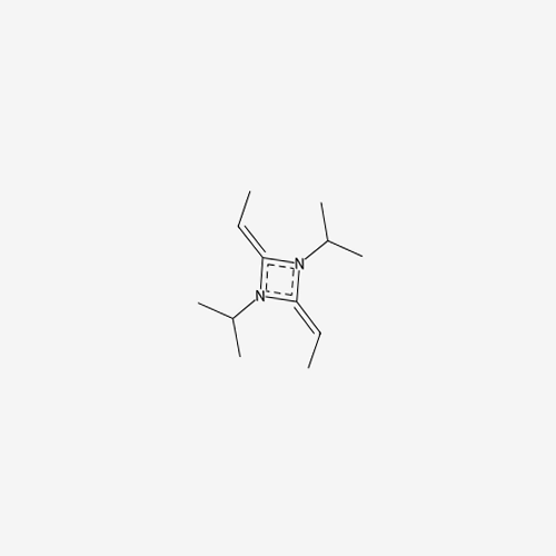 CC=c1n(C(C)C)c(=CC)n1C(C)C